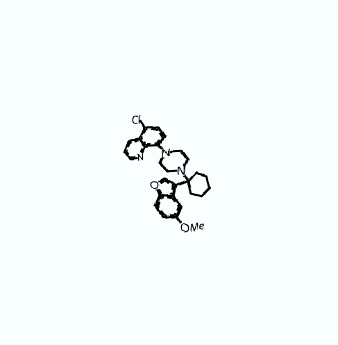 COc1ccc2occ(C3(N4CCN(c5ccc(Cl)c6cccnc56)CC4)CCCCC3)c2c1